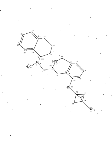 CN(C[C@H]1Cc2c(cccc2NC23CC(N)(C2)C3)CN1)[C@H]1CCCc2cccnc21